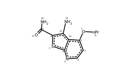 CCCOc1ccnc2sc(C(N)=O)c(N)c12